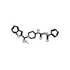 CC(c1cc2ccccc2o1)N1CCC(NC(=O)NC(=O)c2ccccc2)CC1